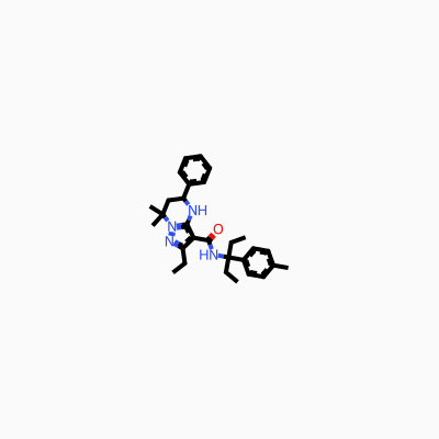 CCc1nn2c(c1C(=O)NC(CC)(CC)c1ccc(C)cc1)NC(c1ccccc1)CC2(C)C